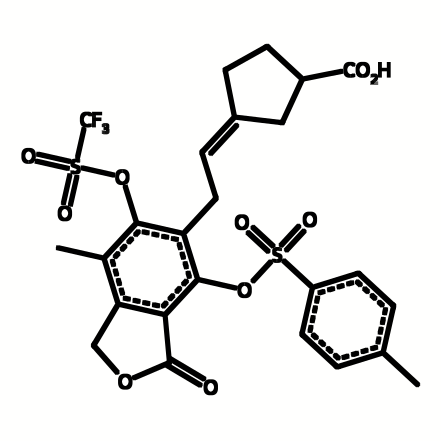 Cc1ccc(S(=O)(=O)Oc2c(CC=C3CCC(C(=O)O)C3)c(OS(=O)(=O)C(F)(F)F)c(C)c3c2C(=O)OC3)cc1